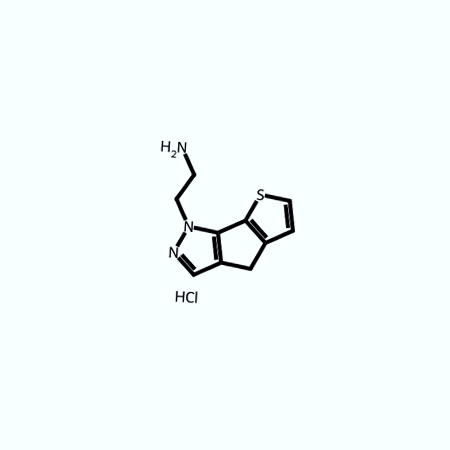 Cl.NCCn1ncc2c1-c1sccc1C2